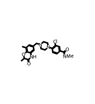 CNC(=O)c1ccc(N2CCN(Cc3cc(C)c4c(c3)NC(=O)C(C)O4)CC2)c(Cl)c1